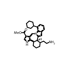 COC(=O)c1c[nH]c2c1=Cn1c(cc3cccc(C4CCCCC4)c31)[C@H]1C=2CCCC1CCN